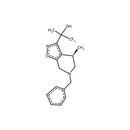 C[C@H]1CN(Cc2ccccc2)Cc2onc(C(C)(O)C(F)(F)F)c21